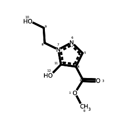 COC(=O)c1cnn(CCO)c1O